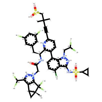 CC(C)(C#Cc1ccc(-c2ccc(Cl)c3c(NS(=O)(=O)C4CC4)nn(CC(F)F)c23)c([C@H](Cc2cc(F)cc(F)c2)NC(=O)Cn2nc(C(F)F)c3c2C(F)(F)[C@@H]2CC32)n1)C[SH](=O)=O